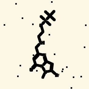 Cn1c(Br)cc2nc(CNCCO[Si](C)(C)C(C)(C)C)cc(=O)n21